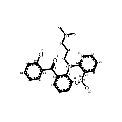 CN(C)CCCN(c1ccccc1C(=O)c1ccccc1Cl)c1ncccc1[N+](=O)[O-]